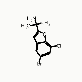 CC(C)(N)c1cc2cc(Br)cc(Cl)c2o1